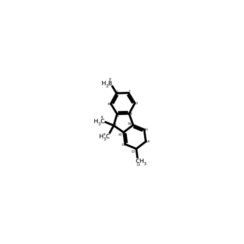 Bc1ccc2c(c1)C(C)(C)C1=CC(C)CC=C12